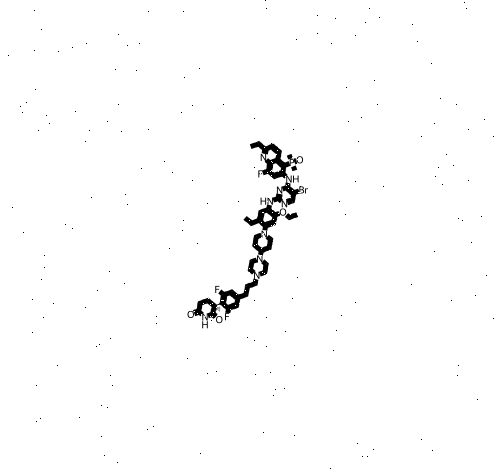 CCOc1cc(N2CCC(N3CCN(CCCc4cc(F)c([C@H]5CCC(=O)NC5=O)c(F)c4)CC3)CC2)c(CC)cc1Nc1ncc(Br)c(Nc2cc(F)c3nc(CC)ccc3c2P(C)(C)=O)n1